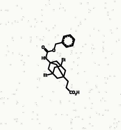 CCC12CC3(CC)CC(CCC(=O)O)(C1)CC(NC(=O)OCc1ccccc1)(C2)C3